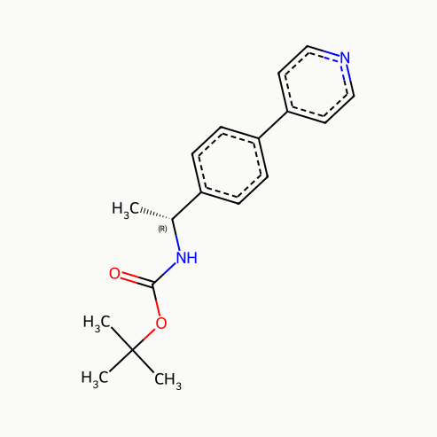 C[C@@H](NC(=O)OC(C)(C)C)c1ccc(-c2ccncc2)cc1